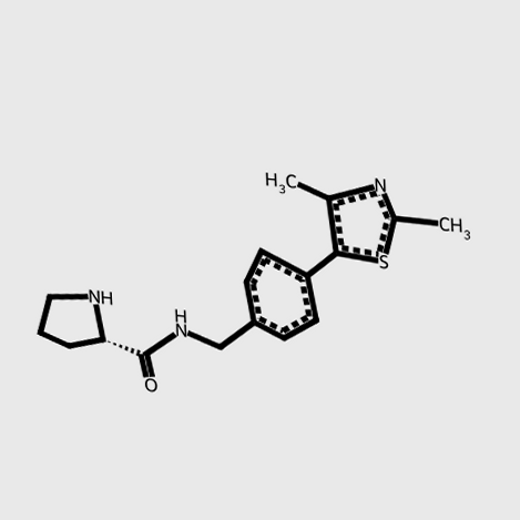 Cc1nc(C)c(-c2ccc(CNC(=O)[C@@H]3CCCN3)cc2)s1